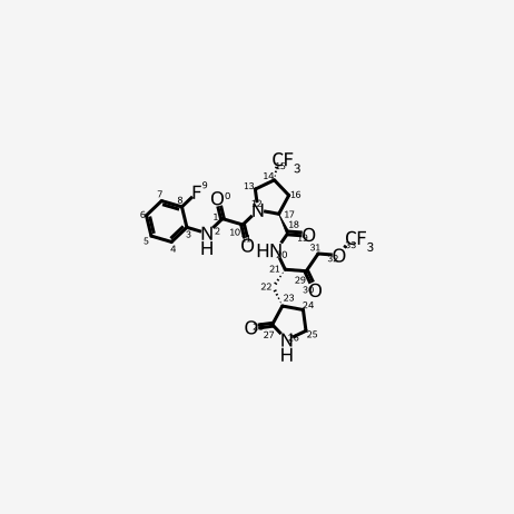 O=C(Nc1ccccc1F)C(=O)N1C[C@H](C(F)(F)F)C[C@H]1C(=O)N[C@@H](C[C@@H]1CCNC1=O)C(=O)COC(F)(F)F